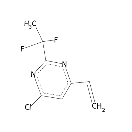 C=Cc1cc(Cl)nc(C(C)(F)F)n1